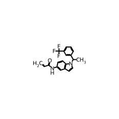 C=CC(=O)Nc1ccc2c(ccn2C(C)c2cccc(C(F)(F)F)c2)c1